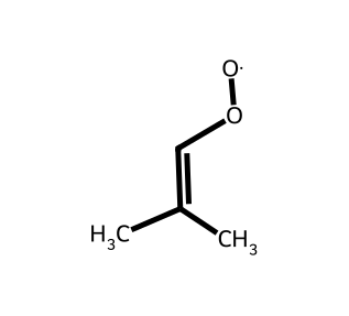 CC(C)=CO[O]